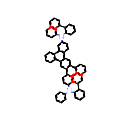 c1ccc(-c2ccccc2N(c2ccccc2)c2ccc3c(c2)c2ccccc2c2cc4c5ccc(N(c6ccccc6)c6ccccc6-c6ccccc6)cc5c5ccccc5c4cc32)cc1